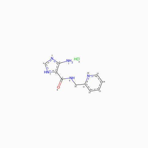 Cl.Nc1nc[nH]c1C(=O)NCc1ccccn1